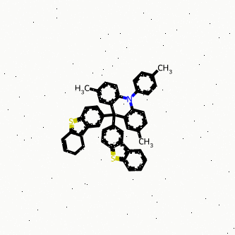 Cc1ccc(N2c3ccc(C)cc3C(c3ccc4sc5c(c4c3)CCC=C5)(c3ccc4sc5ccccc5c4c3)c3cc(C)ccc32)cc1